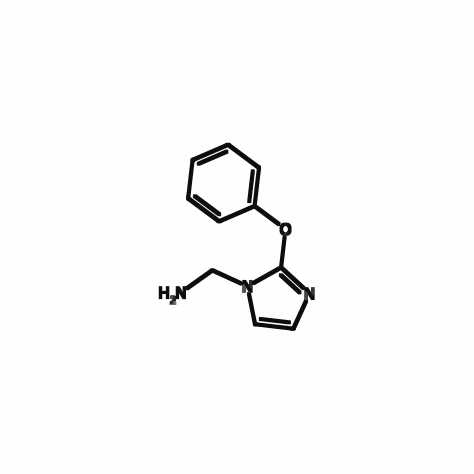 NCn1ccnc1Oc1ccccc1